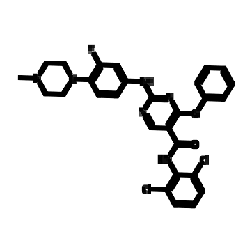 CN1CCN(c2ccc(Nc3ncc(C(=O)Nc4c(Cl)cccc4Cl)c(Oc4ccccc4)n3)cc2F)CC1